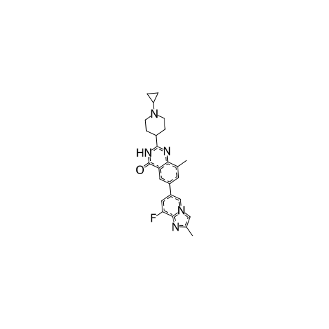 Cc1cn2cc(-c3cc(C)c4nc(C5CCN(C6CC6)CC5)[nH]c(=O)c4c3)cc(F)c2n1